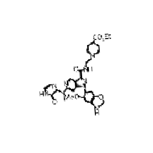 CCOC(=O)C1CCN(CCNC(=O)c2nn(-c3cc4c(cc3OC)NCCO4)c3cc(Nc4ncc[nH]c4=O)ncc23)CC1